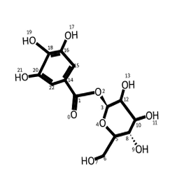 O=C(O[C@@H]1OC(CO)[C@@H](O)C(O)C1O)c1cc(O)c(O)c(O)c1